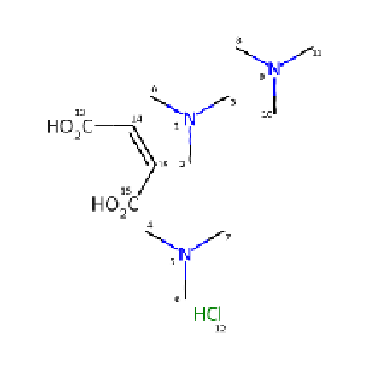 CN(C)C.CN(C)C.CN(C)C.Cl.O=C(O)/C=C\C(=O)O